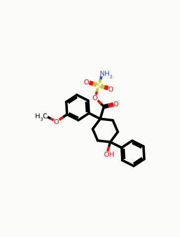 COc1cccc(C2(C(=O)OS(N)(=O)=O)CCC(O)(c3ccccc3)CC2)c1